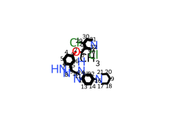 CC(Oc1ccc2[nH]nc(-c3nc4ccc(N5CCCCC5)cc4[nH]3)c2c1)c1c(Cl)ccnc1Cl